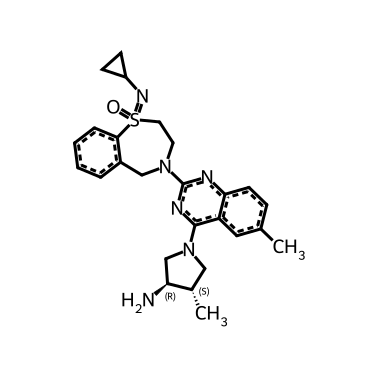 Cc1ccc2nc(N3CCS(=O)(=NC4CC4)c4ccccc4C3)nc(N3C[C@H](C)[C@@H](N)C3)c2c1